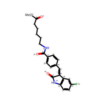 COC(=O)CCCCCNC(=O)c1ccc(/C=C2\C(=O)Nc3ccc(F)cc32)cc1